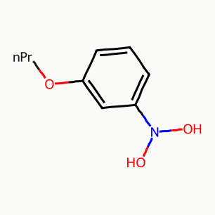 CCCOc1cccc(N(O)O)c1